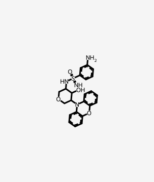 N=S(=O)(NC1COCC(N2c3ccccc3Oc3ccccc32)C1O)c1cccc(N)c1